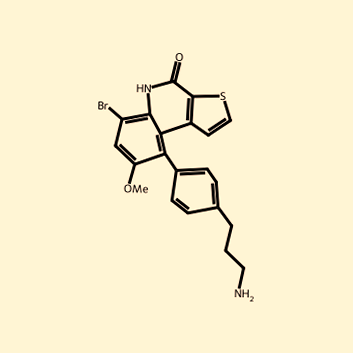 COc1cc(Br)c2[nH]c(=O)c3sccc3c2c1-c1ccc(CCCN)cc1